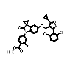 COC(=O)c1ccc(N2C(=O)C3(CC3)c3cc(OCc4c(-c5c(Cl)cccc5Cl)noc4C4CC4)ccc32)cc1F